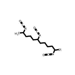 CCC(CCCCC(CCCC(C)N=C=O)N=C=O)N=C=O